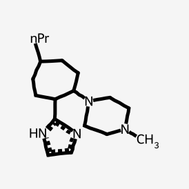 CCCC1CCC(c2ncc[nH]2)C(N2CCN(C)CC2)CC1